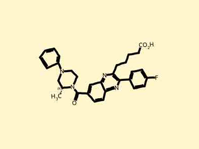 C[C@@H]1CN(c2ccccc2)CCN1C(=O)c1ccc2nc(-c3ccc(F)cc3)c(CCCCC(=O)O)nc2c1